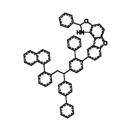 c1ccc(-c2ccc(C(Cc3ccccc3-c3cccc4ccccc34)c3ccc(-c4ccc5oc6ccc7c(c6c5c4)NC(c4ccccc4)O7)c(-c4ccccc4)c3)cc2)cc1